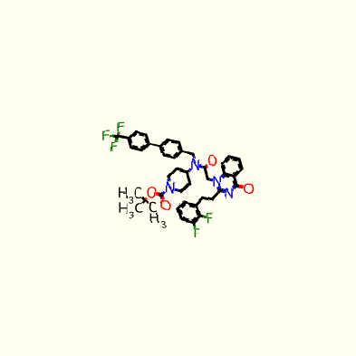 CC(C)(C)OC(=O)N1CCC(N(Cc2ccc(-c3ccc(C(F)(F)F)cc3)cc2)C(=O)Cn2c(CCc3cccc(F)c3F)nc(=O)c3ccccc32)CC1